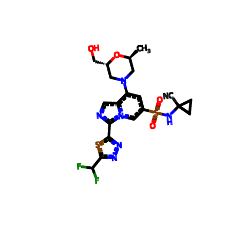 C[C@H]1CN(c2cc(S(=O)(=O)NC3(C#N)CC3)cn3c(-c4nnc(C(F)F)s4)ncc23)C[C@H](CO)O1